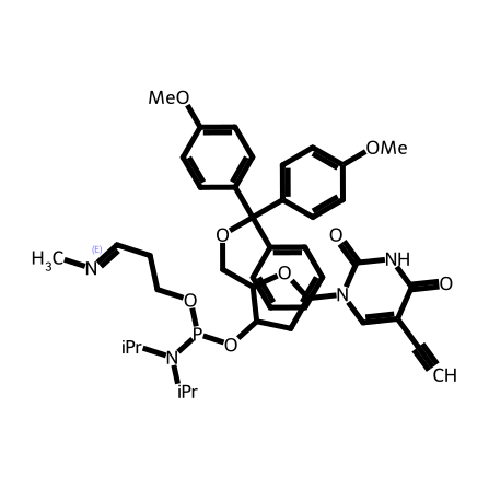 C#Cc1cn(C2CC(OP(OCC/C=N/C)N(C(C)C)C(C)C)C(COC(c3ccccc3)(c3ccc(OC)cc3)c3ccc(OC)cc3)O2)c(=O)[nH]c1=O